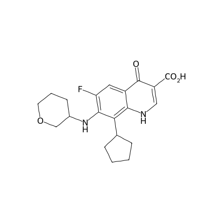 O=C(O)c1c[nH]c2c(C3CCCC3)c(NC3CCCOC3)c(F)cc2c1=O